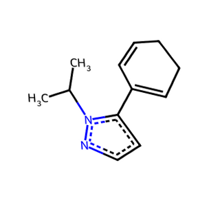 CC(C)n1nccc1C1=CCCC=C1